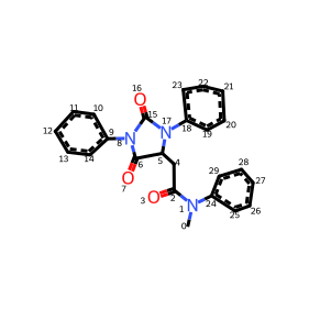 CN(C(=O)CC1C(=O)N(c2ccccc2)C(=O)N1c1ccccc1)c1ccccc1